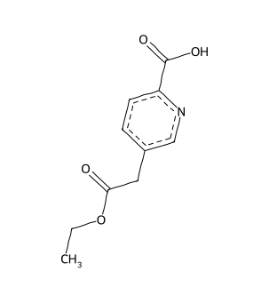 CCOC(=O)Cc1ccc(C(=O)O)nc1